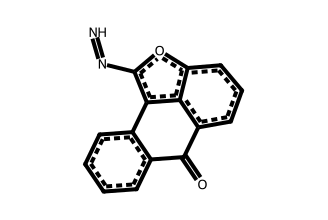 N=Nc1oc2cccc3c2c1-c1ccccc1C3=O